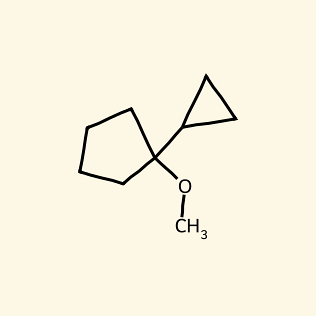 COC1(C2CC2)CCCC1